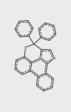 c1ccc(C2(c3ccccc3)Sc3cccc4c5ccccc5c5ncc2n5c34)cc1